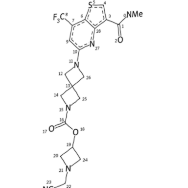 CNC(=O)c1csc2c(C(F)(F)F)cc(N3CC4(CN(C(=O)OC5CN(CC#N)C5)C4)C3)nc12